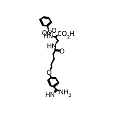 N=C(N)c1ccc(OCCCCC(=O)NCC(NS(=O)(=O)c2ccccc2)C(=O)O)cc1